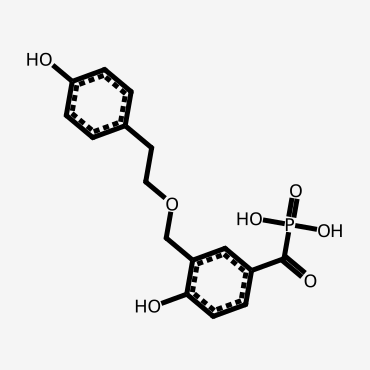 O=C(c1ccc(O)c(COCCc2ccc(O)cc2)c1)P(=O)(O)O